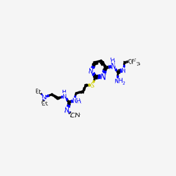 CCN(CC)CCN/C(=N/C#N)NCCCSc1nccc(N/C(N)=N\CC(F)(F)F)n1